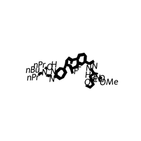 CCCCC(CCC)N(Cc1nc2c([nH]1)=CC(C1=C/C=C(\C)C3=C=CC=C(c4cnc(C(CNOOC)CC5(CC)CCCO5)[nH]4)C=C3C(F)(F)\C(C)=C\1)=C=CC=2)C(=O)CCC